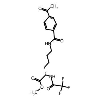 COC(=O)[C@H](CCCCNC(=O)c1ccc(C(C)=O)cc1)NC(=O)C(F)(F)F